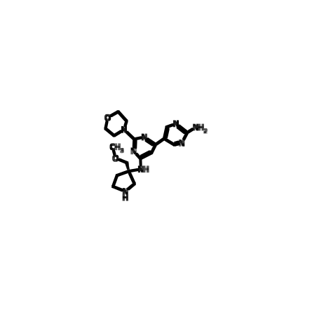 COC[C@]1(Nc2cc(-c3cnc(N)nc3)nc(N3CCOCC3)n2)CCNC1